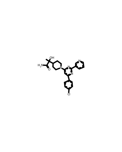 CC(O)(C(N)=O)C1CCN(c2cc(-c3ccc(Cl)cc3)nc(-c3cccnc3)n2)CC1